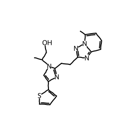 Cc1cccc2nc(CCc3nc(-c4cccs4)cn3C(C)CO)nn12